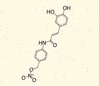 O=C(C=Cc1ccc(O)c(O)c1)Nc1ccc(CO[N+](=O)[O-])cc1